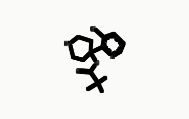 CC(C)(C)C(=O)OC1(c2ncccc2Cl)CCNCC1